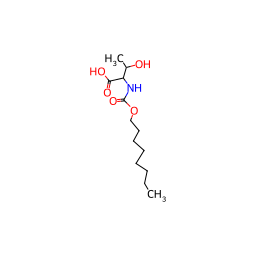 CCCCCCCCOC(=O)NC(C(=O)O)C(C)O